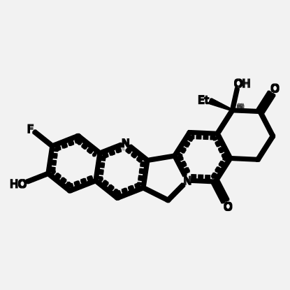 CC[C@@]1(O)C(=O)CCc2c1cc1n(c2=O)Cc2cc3cc(O)c(F)cc3nc2-1